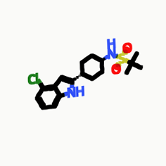 CC(C)(C)S(=O)(=O)N[C@H]1CC[C@H](c2cc3c(Cl)cccc3[nH]2)CC1